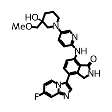 COC[C@]1(O)CCCN(c2ccc(Nc3ccc(-c4cnc5cc(F)ccn45)c4c3C(=O)NC4)nc2)C1